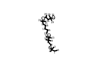 CCC(C)(C)OCCC(C)(C)C(C)(C)OCCCCCC(C)(C)OC(C)CC(C)(C)OC